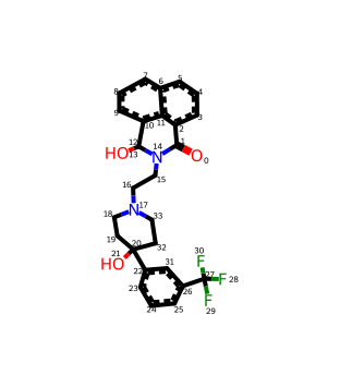 O=C1c2cccc3cccc(c23)C(O)N1CCN1CCC(O)(c2cccc(C(F)(F)F)c2)CC1